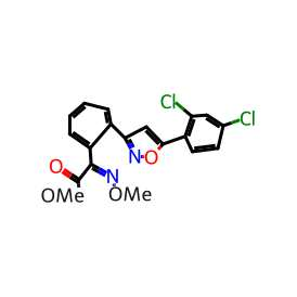 CON=C(C(=O)OC)c1ccccc1-c1cc(-c2ccc(Cl)cc2Cl)on1